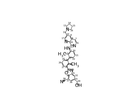 Cc1c(Nc2nccc3cc(CN4CCCC4)cnc23)cccc1-c1cccc(-c2nc3cc(CO)cc(C#N)c3o2)c1C